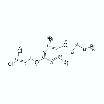 ClC(Cl)=CCOc1cc(Br)c(OCCCBr)c(Br)c1